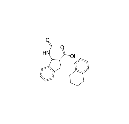 O=CNC1c2ccccc2CC1C(=O)O.c1ccc2c(c1)CCCC2